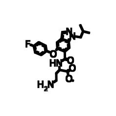 COC(=O)C(CCN)NC(=O)c1cc2c(cnn2CC(C)C)cc1Oc1ccc(F)cc1